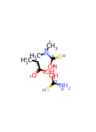 CCC(=O)O.CN(C)C(O)=S.NC(O)=S